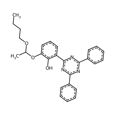 CCCCOC(C)Oc1cccc(-c2nc(-c3ccccc3)nc(-c3ccccc3)n2)c1O